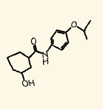 CC(C)Oc1ccc(NC(=O)C2CCCC(O)C2)cc1